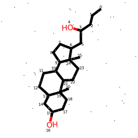 CCCC(O)CC1CCC2C3CCC4CC(O)CCC4(C)C3CCC12C